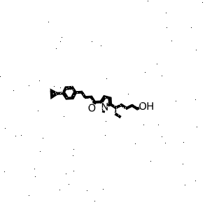 CC[C@H](CCCCO)c1ccc(C(=O)CCCc2ccc(C3CC3)cc2)n1C